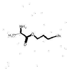 C[C@H](N)C(=O)OCCCC(C)(C)C